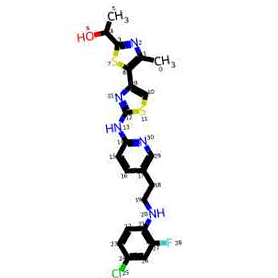 Cc1nc(C(C)O)sc1-c1csc(Nc2ccc(CCNc3ccc(Cl)cc3F)cn2)n1